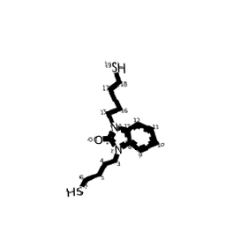 O=c1n(CCCCS)c2ccccc2n1CCCCS